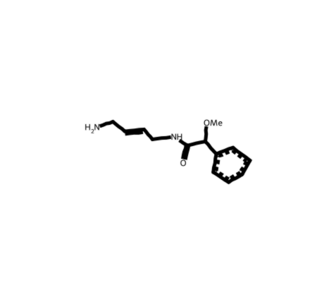 COC(C(=O)NCC=CCN)c1ccccc1